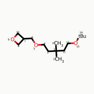 CC(C)(CCOCC1COC1)CCOC(C)(C)C